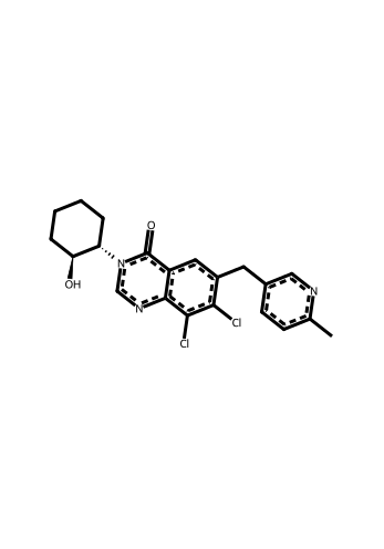 Cc1ccc(Cc2cc3c(=O)n([C@H]4CCCC[C@@H]4O)cnc3c(Cl)c2Cl)cn1